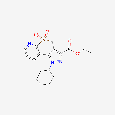 CCOC(=O)c1nn(C2CCCCC2)c2c1CS(=O)(=O)c1ncccc1-2